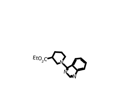 CCOC(=O)C1CCCN(c2ncnc3ccccc23)C1